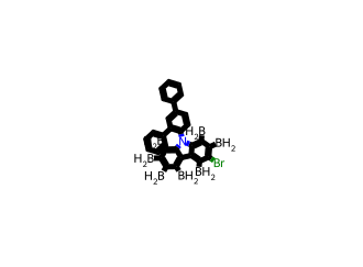 Bc1c(B)c(B)c2c(c1B)c1c(B)c(Br)c(B)c(B)c1n2-c1ccc(-c2ccccc2)cc1-c1ccccc1